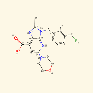 Cc1c(CF)cccc1Cn1c(C)nc2c(C(=O)O)cc(N3CCOCC3)nc21